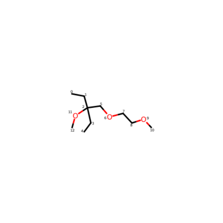 CCC(CC)(COCCOC)OC